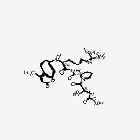 Cc1cc(=O)oc2cc(N[C@@H](CCCN=C(N)N)C(=O)NC(=O)[C@@H]3CCCN3C(=O)[C@@H](NC(=O)OC(C)(C)C)C(C)C)ccc12